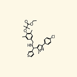 CCOC(=O)C(C)(C)Oc1c(C)cc(CNC(c2ccsc2)c2cc(-c3ccc(Cl)cc3)nn2C)cc1C